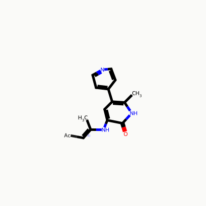 CC(=O)/C=C(\C)Nc1cc(-c2ccncc2)c(C)[nH]c1=O